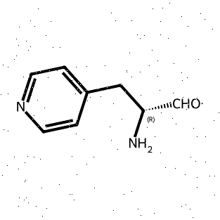 N[C@@H]([C]=O)Cc1ccncc1